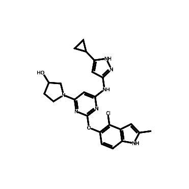 Cc1cc2c(Cl)c(Oc3nc(Nc4cc(C5CC5)[nH]n4)cc(N4CCC(O)C4)n3)ccc2[nH]1